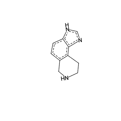 c1nc2c3c(ccc2[nH]1)CNCC3